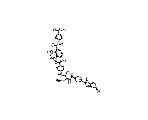 C#CC[C@H](NC(=O)C12CCC(c3nc4cc(C#N)ccc4n3C)(CC1)CC2)C(=O)Nc1ccc(C(=O)Nc2ccc(C(=O)Nc3ccc(C(=O)O)cc3)c(O)c2OC(C)C)cc1